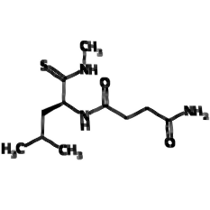 CNC(=S)[C@H](CC(C)C)NC(=O)CCC(N)=O